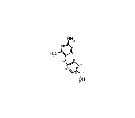 Cc1cc(N)ccc1Oc1ccc(CO)nc1